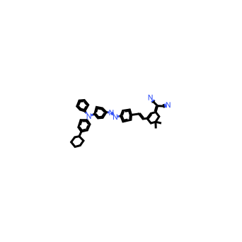 CC1(C)CC(/C=C/c2ccc(/N=N/c3ccc(N(c4ccccc4)c4ccc(C5CCCCC5)cc4)cc3)cc2)=CC(=C(C#N)C#N)C1